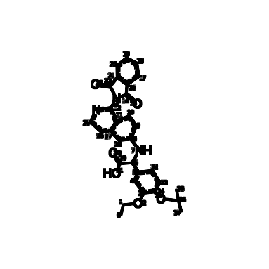 CCOc1cc(C(Nc2ccc3c(N4C(=O)c5ccccc5C4=O)nccc3c2)C(=O)O)ccc1OC(C)C